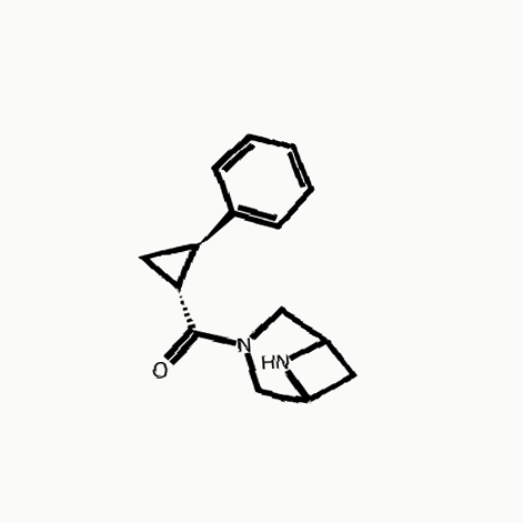 O=C([C@@H]1C[C@H]1c1ccccc1)N1CC2CC(C1)N2